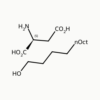 CCCCCCCCCCCCO.N[C@@H](CC(=O)O)C(=O)O